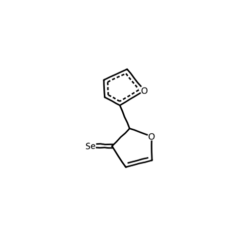 [Se]=C1C=COC1c1ccco1